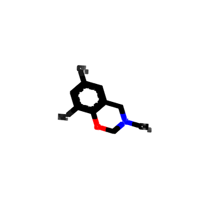 CN1COc2c(C#N)cc(C(F)(F)F)cc2C1